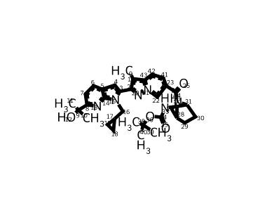 Cc1c(-c2cc3ccc(C(C)(C)O)nc3n2CC2CC2)nn2cc(C(=O)N3CC4CCC3[C@@H]4NC(=O)OC(C)(C)C)ccc12